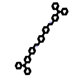 C(=C\c1ccc(-c2ccc(N(c3ccccc3)c3ccccc3)cc2)cc1)/c1ccc(-c2ccc(/C=C/c3ccc(N(c4ccccc4)c4ccccc4)cc3)cc2)cc1